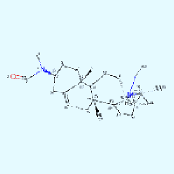 CN(C=O)[C@H]1CC[C@@]2(C)C(=CC[C@@H]3C2CC[C@]24CN(C)[C@H]5C[C@@]52CC[C@@H]34)C1